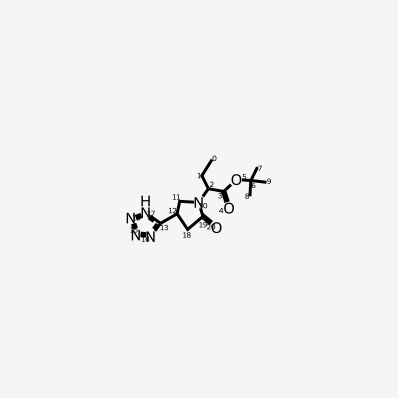 CCC(C(=O)OC(C)(C)C)N1CC(c2nnn[nH]2)CC1=O